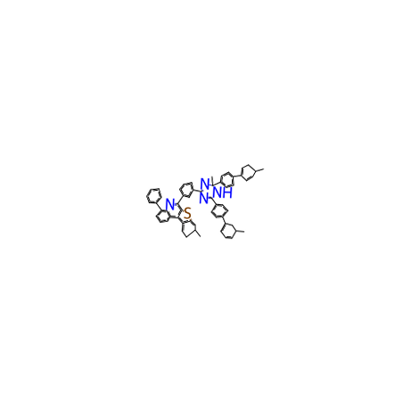 CC1C=CC(c2ccc(C3(C)N=C(c4cccc(-c5nc6c(-c7ccccc7)cccc6c6c7c(sc56)=CC(C)CC=7)c4)N=C(c4ccc(C5=CC=CC(C)C5)cc4)N3)cc2)=CC1